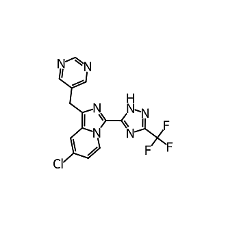 FC(F)(F)c1n[nH]c(-c2nc(Cc3cncnc3)c3cc(Cl)ccn23)n1